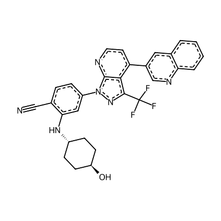 N#Cc1ccc(-n2nc(C(F)(F)F)c3c(-c4cnc5ccccc5c4)ccnc32)cc1N[C@H]1CC[C@H](O)CC1